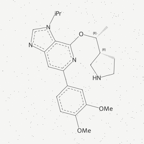 COc1ccc(-c2cc3ncn(C(C)C)c3c(O[C@H](C)[C@@H]3CCNC3)n2)cc1OC